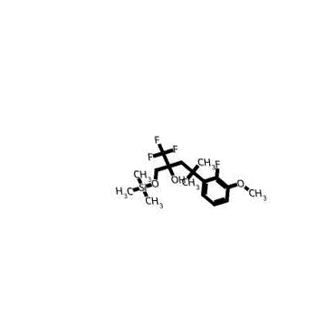 COc1cccc(C(C)(C)CC(O)(CO[Si](C)(C)C)C(F)(F)F)c1F